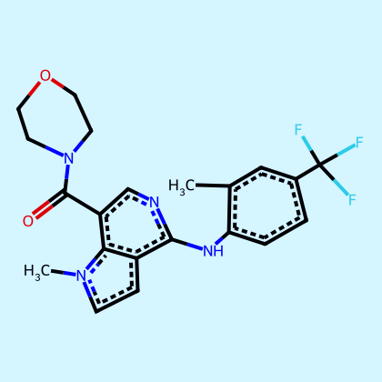 Cc1cc(C(F)(F)F)ccc1Nc1ncc(C(=O)N2CCOCC2)c2c1ccn2C